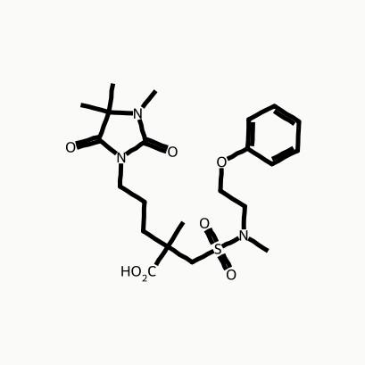 CN1C(=O)N(CCCC(C)(CS(=O)(=O)N(C)CCOc2ccccc2)C(=O)O)C(=O)C1(C)C